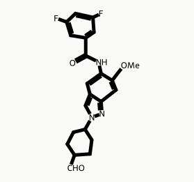 COc1cc2nn(C3CCC(C=O)CC3)cc2cc1NC(=O)c1cc(F)cc(F)c1